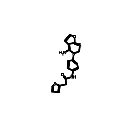 NC1=c2ccoc2=NCN1c1ccc(NC(=O)Cc2cccs2)cc1